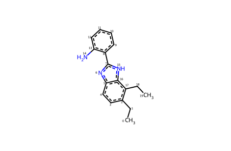 CCc1ccc2nc(-c3ccccc3N)[nH]c2c1CC